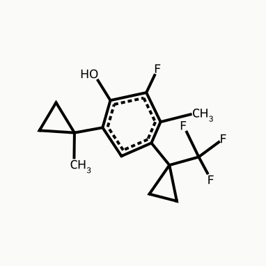 Cc1c(C2(C(F)(F)F)CC2)cc(C2(C)CC2)c(O)c1F